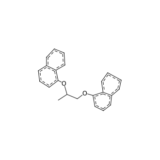 CC(COc1cccc2ccccc12)Oc1cccc2ccccc12